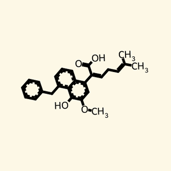 COc1cc(/C(=C/CC=C(C)C)C(=O)O)c2cccc(Cc3ccccc3)c2c1O